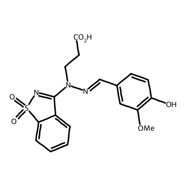 COc1cc(/C=N/N(CCC(=O)O)C2=NS(=O)(=O)c3ccccc32)ccc1O